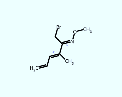 C=C/C=C(C)/C(CBr)=N/OC